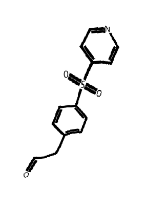 O=CCc1ccc(S(=O)(=O)c2ccncc2)cc1